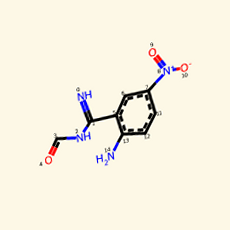 N=C(NC=O)c1cc([N+](=O)[O-])ccc1N